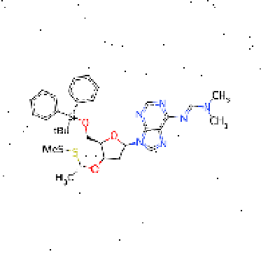 CSS[C@@H](C)O[C@@H]1C[C@H](n2cnc3c(/N=C/N(C)C)ncnc32)O[C@@H]1CO[Si](c1ccccc1)(c1ccccc1)C(C)(C)C